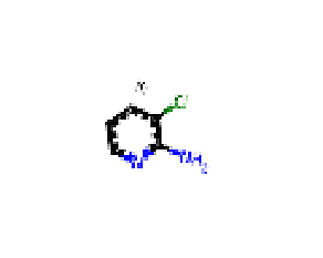 Nc1ncccc1Cl.[K]